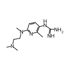 Cc1nc(N(C)CCN(C)C)ccc1NC(=N)N